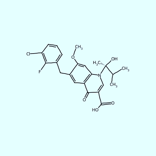 COc1cc2c(cc1Cc1cccc(Cl)c1F)c(=O)c(C(=O)O)cn2[C@@](C)(O)C(C)C